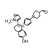 Cn1nccc1[C@@H]1CCc2cc(O)ccc2[C@H]1c1ccc(N2CCC(C=O)CC2)cc1